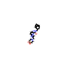 O=C(NCC12CC3CC4CC(C1)C4(C3)C2)c1cccc2nc(CN3CCS(=O)(=O)CC3)cn12